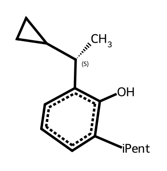 CCCC(C)c1cccc([C@@H](C)C2CC2)c1O